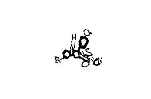 COc1ccc(C2c3[nH]c4ccc(Br)cc4c3CC3C(=O)N(c4cccnc4)C(=S)N32)cc1